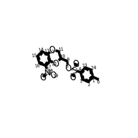 Cc1ccc(S(=O)(=O)OCC2COc3cccc([N+](=O)[O-])c3O2)cc1